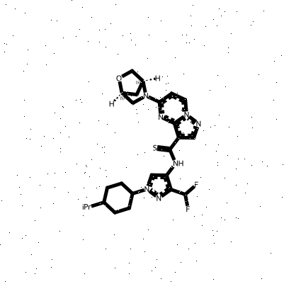 CC(C)C1CCC(n2cc(NC(=S)c3cnn4ccc(N5C[C@@H]6C[C@H]5CO6)nc34)c(C(F)F)n2)CC1